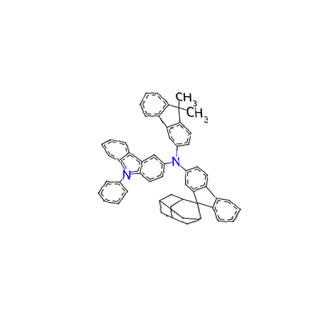 CC1(C)c2ccccc2-c2cc(N(c3ccc4c(c3)C3(c5ccccc5-4)C4CC5CC(C4)CC3C5)c3ccc4c(c3)c3ccccc3n4-c3ccccc3)ccc21